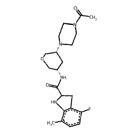 CC(=O)N1CCN([C@H]2COC[C@@H](NC(=O)C3Cc4c(F)ccc(C)c4N3)C2)CC1